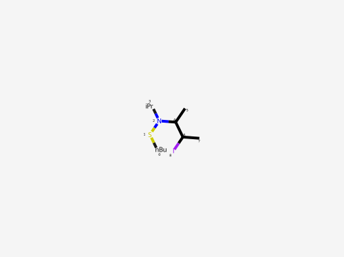 CCCCSN(C(C)C)C(C)C(C)I